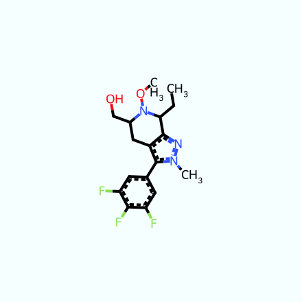 CCC1c2nn(C)c(-c3cc(F)c(F)c(F)c3)c2CC(CO)N1OC